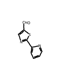 O=Cc1cnc(-c2ccccn2)s1